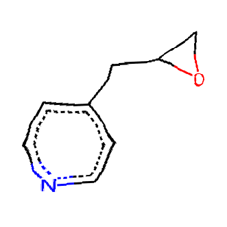 c1cc(CC2CO2)ccn1